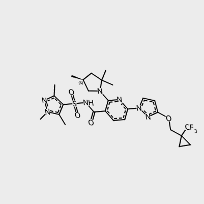 Cc1nn(C)c(C)c1S(=O)(=O)NC(=O)c1ccc(-n2ccc(OCC3(C(F)(F)F)CC3)n2)nc1N1C[C@@H](C)CC1(C)C